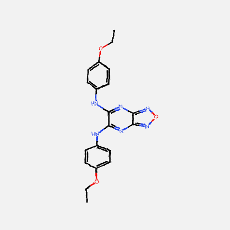 CCOc1ccc(Nc2nc3nonc3nc2Nc2ccc(OCC)cc2)cc1